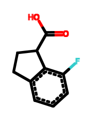 O=C(O)C1CCc2cccc(F)c21